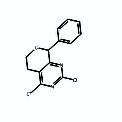 Clc1nc(Cl)c2c(n1)C(c1ccccc1)OCC2